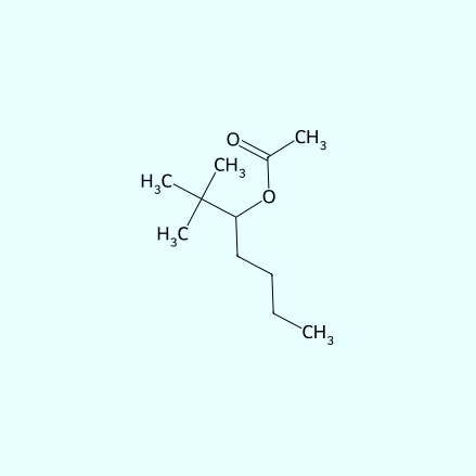 CCCCC(OC(C)=O)C(C)(C)C